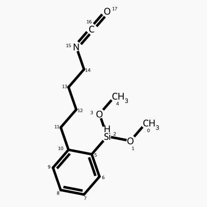 CO[SiH](OC)c1ccccc1CCCCN=C=O